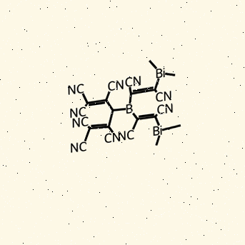 [CH3][Bi]([CH3])[C](C#N)=C(C#N)B(C(C#N)=[C](C#N)[Bi]([CH3])[CH3])C(C(C#N)=C(C#N)C#N)C(C#N)=C(C#N)C#N